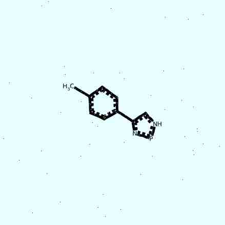 Cc1ccc(-c2c[nH]pn2)cc1